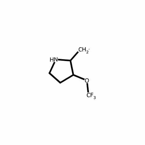 [CH2]C1NCCC1OC(F)(F)F